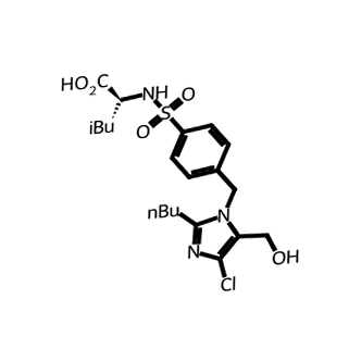 CCCCc1nc(Cl)c(CO)n1Cc1ccc(S(=O)(=O)N[C@H](C(=O)O)[C@@H](C)CC)cc1